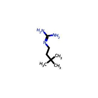 CC(C)(C)CCN=C(N)N